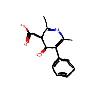 CC1=NC(C)=C(c2ccccc2)C(=O)C1C(=O)O